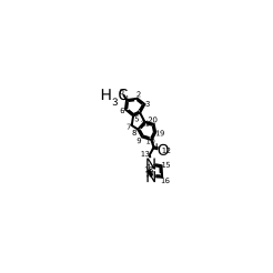 Cc1ccc2c(c1)Cc1cc(C(=O)Cn3ccnc3)ccc1-2